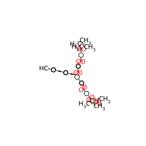 C#Cc1ccc(C#Cc2ccc(C#CC3(OC(=O)c4ccc(OC(=O)C5CCC(C(=O)OC(C)(C)CC(C)C)CC5)cc4)CCC(c4ccc(OC(=O)C5CCC(C(=O)OC(C)(C)CC(C)OC(=O)C=C)CC5)cc4)CC3)cc2)cc1